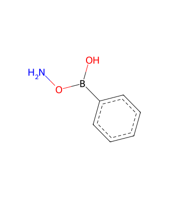 NOB(O)c1ccccc1